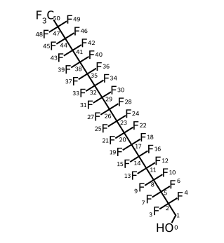 OCC(F)(F)C(F)(F)C(F)(F)C(F)(F)C(F)(F)C(F)(F)C(F)(F)C(F)(F)C(F)(F)C(F)(F)C(F)(F)C(F)(F)C(F)(F)C(F)(F)C(F)(F)C(F)(F)C(F)(F)F